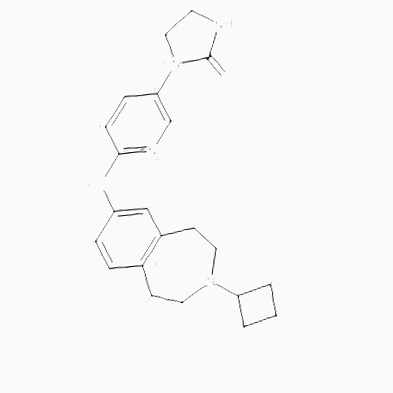 O=C1NCCN1c1ccc(Oc2ccc3c(c2)CCN(C2CCC2)CC3)nc1